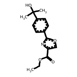 CCOC(=O)c1coc(-c2ccc(C(C)(C)O)cc2)n1